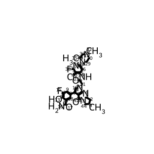 CC1Cc2nc3c(c(-c4cc(F)c(O)c(C(N)=O)c4)cn3CC(=O)Nc3cc(N4CCN(C)C[C@@H]4C)nc(F)c3Cl)c(=O)n2C1